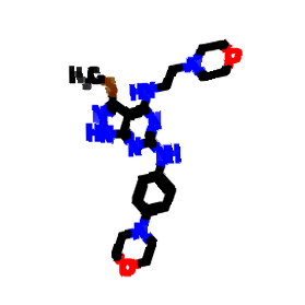 CSc1n[nH]c2nc(Nc3ccc(N4CCOCC4)cc3)nc(NCCN3CCOCC3)c12